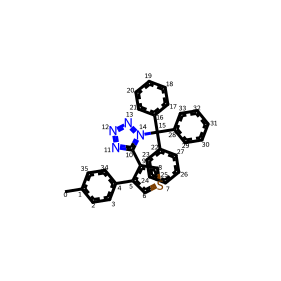 Cc1ccc(-c2cscc2-c2nnnn2C(c2ccccc2)(c2ccccc2)c2ccccc2)cc1